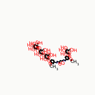 COc1cc(/C=C/C(=O)CC(=O)/C=C/c2ccc(O[C@@H]3O[C@H](CO)[C@@H](O)[C@H](O[C@@H]4O[C@H](CO)[C@@H](O)[C@H](O[C@@H]5O[C@H](CO)[C@@H](O)[C@H](O)[C@H]5O)[C@H]4O)[C@H]3O)c(OC)c2)ccc1O[C@@H]1O[C@H](CO)[C@@H](O)[C@H](O)[C@H]1O